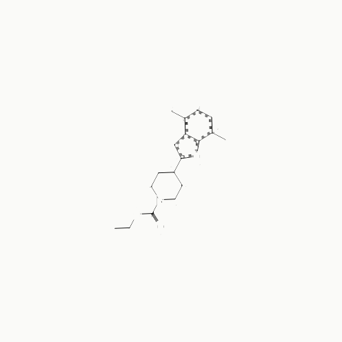 CCOC(=O)N1CCC(c2cc3c(C)ccc(C)c3o2)CC1